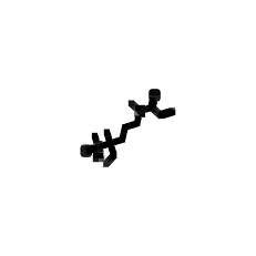 C=CC(=O)N(C)CCCC(C)(CC)[SH](C)(C)=O